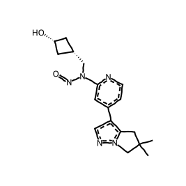 CC1(C)Cc2c(-c3ccnc(N(C[C@H]4C[C@@H](O)C4)N=O)c3)cnn2C1